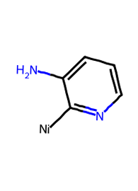 Nc1cccn[c]1[Ni]